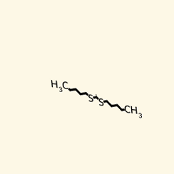 CCCCCS[CH]SCCCCC